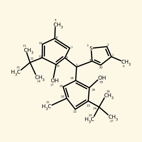 Cc1csc(C(c2cc(C)cc(C(C)(C)C)c2O)c2cc(C)cc(C(C)(C)C)c2O)c1